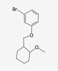 COC1CCCCC1COc1cccc(Br)c1